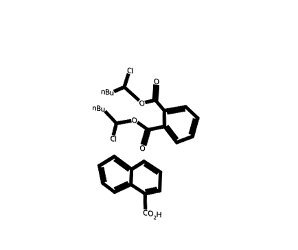 CCCCC(Cl)OC(=O)c1ccccc1C(=O)OC(Cl)CCCC.O=C(O)c1cccc2ccccc12